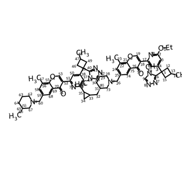 CCOc1cc(C2(c3nncn3C)CC(C)C2)cc(-c2coc3c(C)cc(CN4CCC[C@H](CC5CC5c5cc(C6(c7nncn7C)CC(C)C6)cc(-c6coc7c(C)cc(CN8CCC[C@H](C)C8)cc7c6=O)n5)C4)cc3c2=O)n1